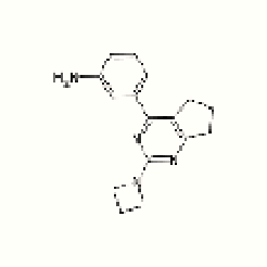 Nc1cccc(-c2nc(N3CCC3)nc3c2CCC3)c1